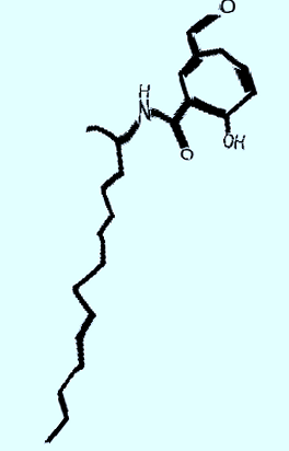 CCCCCCCCCCCCC(C)NC(=O)c1cc(C=O)ccc1O